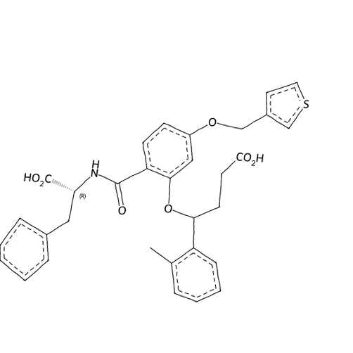 Cc1ccccc1C(CCC(=O)O)Oc1cc(OCc2ccsc2)ccc1C(=O)N[C@H](Cc1ccccc1)C(=O)O